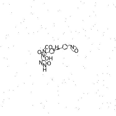 O=C(O)CN1C(=O)N(Cc2nc[nH]c(=O)c2O)CC1c1ccc(C#Cc2ccc(CN3CCOCC3)cc2)cc1